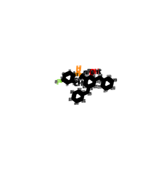 CCCCCC(CC)(Pc1ccc(F)cc1C=O)c1cc(Cc2ccccc2)cc(Cc2ccccc2)c1O